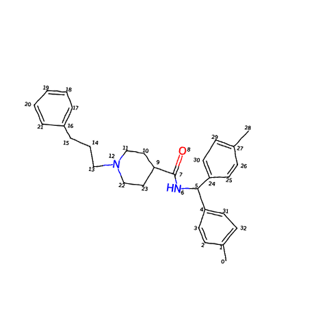 Cc1ccc(C(NC(=O)C2CCN(CCCc3ccccc3)CC2)c2ccc(C)cc2)cc1